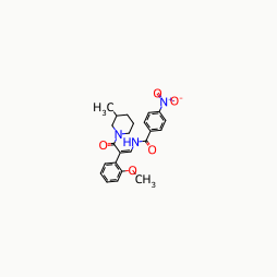 COc1ccccc1C(=CNC(=O)c1ccc([N+](=O)[O-])cc1)C(=O)N1CCCC(C)C1